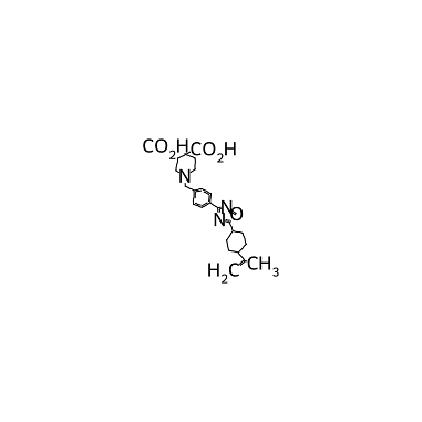 C=C(C)C1CCC(c2nc(-c3ccc(CN4CCC(C(=O)O)(C(=O)O)CC4)cc3)no2)CC1